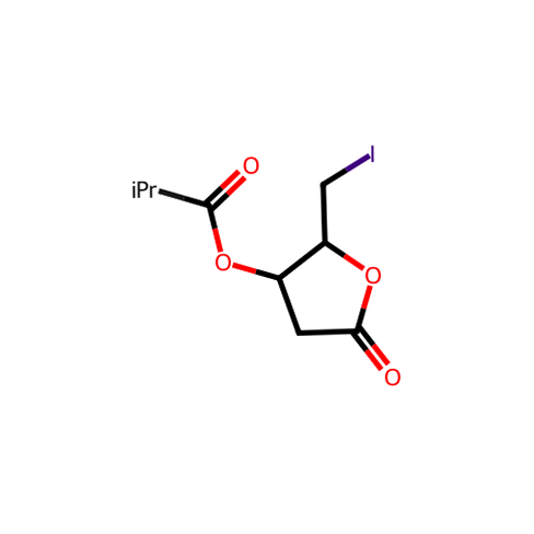 CC(C)C(=O)OC1CC(=O)OC1CI